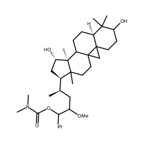 COC(C[C@@H](C)[C@H]1C[C@H](O)[C@@]2(C)C3CC[C@H]4C(C)(C)C(O)CCC45CC35CCC12C)C(OC(=O)N(C)C)C(C)C